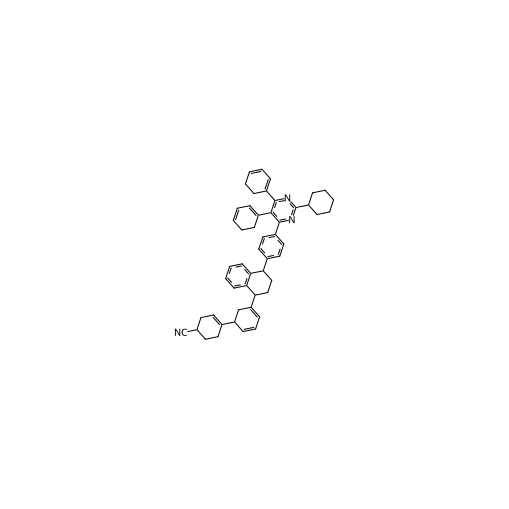 N#CC1CC=C(C2C=CC=C(C3CCC(c4ccc(-c5nc(C6CCCCC6)nc(C6=CC=CCC6)c5C5=CC=CCC5)cc4)c4ccccc43)C2)CC1